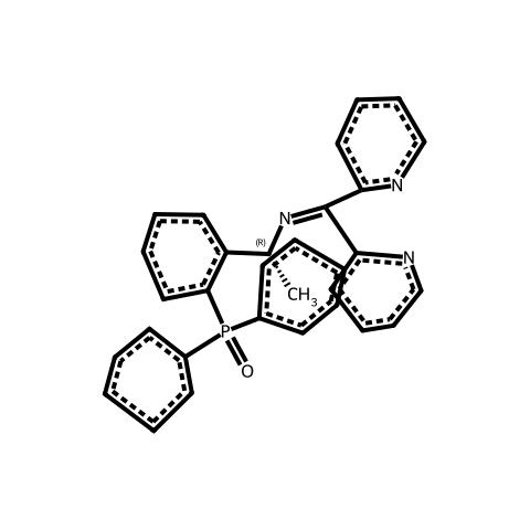 C[C@@H](N=C(c1ccccn1)c1ccccn1)c1ccccc1P(=O)(c1ccccc1)c1ccccc1